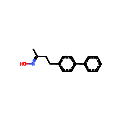 CC(CCc1ccc(-c2ccccc2)cc1)=NO